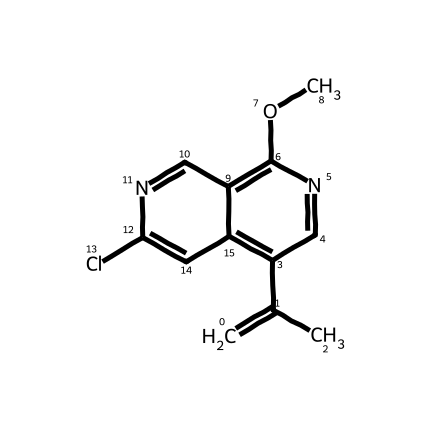 C=C(C)c1cnc(OC)c2cnc(Cl)cc12